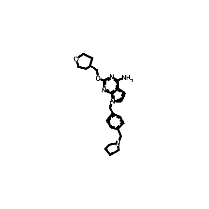 Nc1nc(OCC2CCOCC2)nc2c1ccn2Cc1ccc(CN2CCCC2)cc1